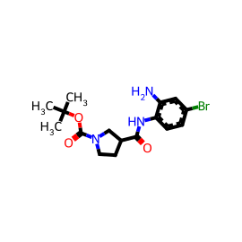 CC(C)(C)OC(=O)N1CCC(C(=O)Nc2ccc(Br)cc2N)C1